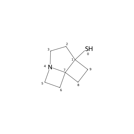 SC12CCN3CCC31CC2